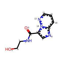 O=C(NCCO)c1cnc2cccnn12